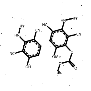 CC(C)Nc1c(C#N)ccc(O)c1C#N.COc1cc(C#N)c(NC(C)C)c(C#N)c1OC(=O)OC(C)(C)C